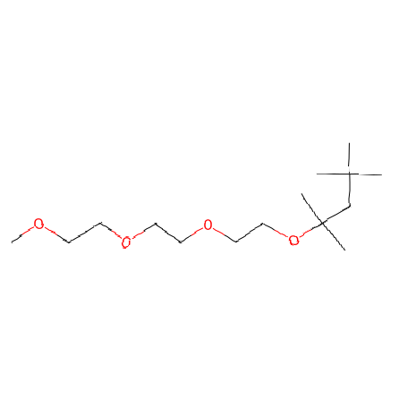 COCCOCCOCCOC(C)(C)CC(C)(C)C